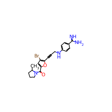 CC1CCCN1C(=O)c1cc(Br)c(C#CCNc2ccc(C(=N)N)cc2)o1